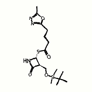 Cc1nnc(CCCC(=O)S[C@H]2NC(=O)[C@@H]2CO[Si](C)(C)C(C)(C)C)o1